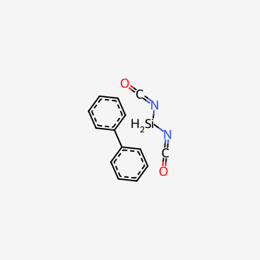 O=C=N[SiH2]N=C=O.c1ccc(-c2ccccc2)cc1